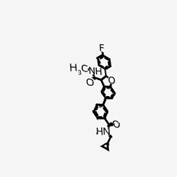 CNC(=O)C1c2cc(-c3cccc(C(=O)NCC4CC4)c3)ccc2OC1c1ccc(F)cc1